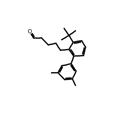 Cc1cc(C)cc(-c2cccc(C(C)(C)C)c2CCCCC=O)c1